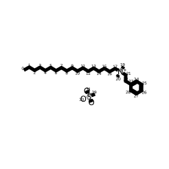 CCCCCCCCCCCCCCCCCC[N+](C)(C)CCc1ccccc1.CS(=O)(=O)[O-]